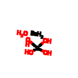 O.O[Si](O)(O)O.[BeH2]